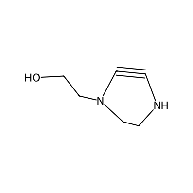 OCCN1C#CNCC1